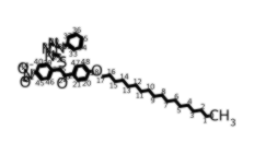 CCCCCCCCCCCCCCCCCCOc1ccc(C(=O)C(Sc2nnnn2-c2ccccc2)c2ccc([N+](=O)[O-])cc2)cc1